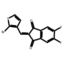 O=C1C(=Cc2ccsc2Br)C(=O)c2cc(F)c(F)cc21